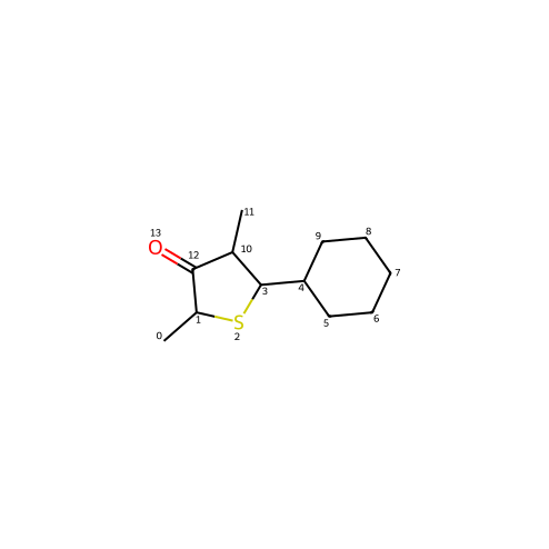 CC1SC(C2CCCCC2)C(C)C1=O